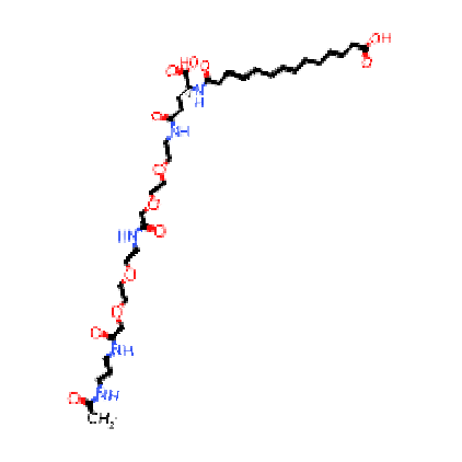 [CH2]C(=O)NCCCNC(=O)COCCOCCNC(=O)COCCOCCNC(=O)CC[C@H](NC(=O)CCCCCCCCCCCCC(=O)O)C(=O)O